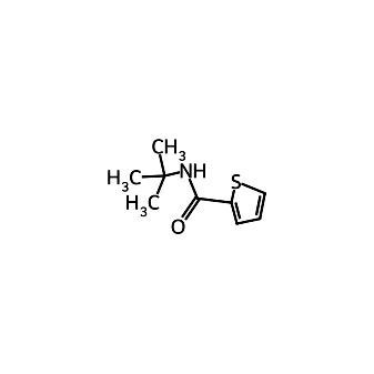 CC(C)(C)NC(=O)c1cccs1